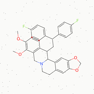 COc1ccc2c(c1OC)CN1CCc3cc4c(cc3C1C2CC(c1ccc(F)cc1)c1ccc(F)cc1)OCO4